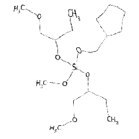 CCC(COC)O[Si](OC)(OCC1CCCC1)OC(CC)COC